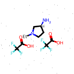 CCN1CC[C@H](N)C1.O=C(O)C(F)(F)F.O=C(O)C(F)(F)F